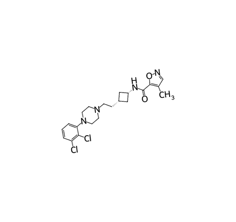 Cc1cnoc1C(=O)N[C@H]1C[C@@H](CCN2CCN(c3cccc(Cl)c3Cl)CC2)C1